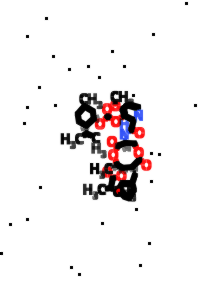 COc1ccnc(C(=O)N[C@H]2COC(=O)[C@H](Cc3ccccc3)[C@@H](OC(=O)C(C)C)[C@H](C)OC2=O)c1OC(=O)O[C@@H]1C[C@H](C)CC[C@H]1C(C)C